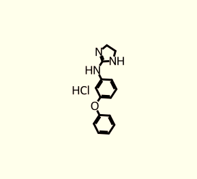 Cl.c1ccc(Oc2cccc(NC3=NCCN3)c2)cc1